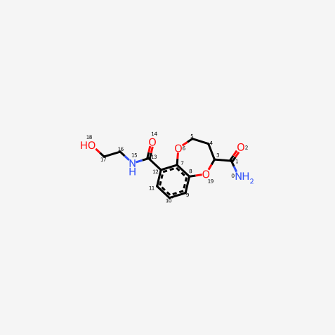 NC(=O)C1CCOc2c(c[c]cc2C(=O)NCCO)O1